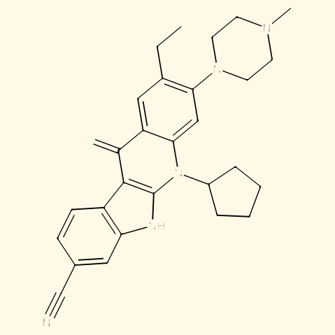 CCc1cc2c(=O)c3c4ccc(C#N)cc4[nH]c3n(C3CCCC3)c2cc1N1CCN(C)CC1